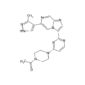 CC(=O)N1CCN(c2ccnc(-c3cnc4cnc(-c5c[nH]nc5C)cn34)n2)CC1